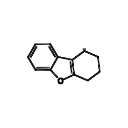 [C]1CCCc2oc3ccccc3c21